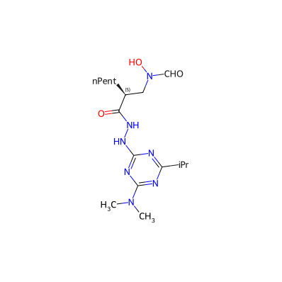 CCCCC[C@@H](CN(O)C=O)C(=O)NNc1nc(C(C)C)nc(N(C)C)n1